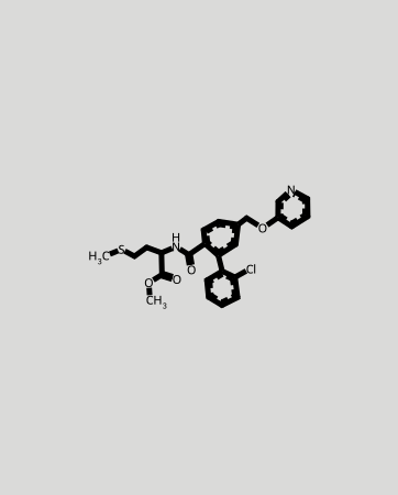 COC(=O)C(CCSC)NC(=O)c1ccc(COc2cccnc2)cc1-c1ccccc1Cl